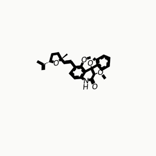 C=C(C)[C@@H]1CC[C@](C)(/C=C/c2ccc3c(c2OC)[C@@](OC)(c2ccccc2)[C@H](OC)C(=O)N3)O1